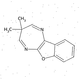 CC1(C)C=Nc2oc3ccccc3c2N=C1